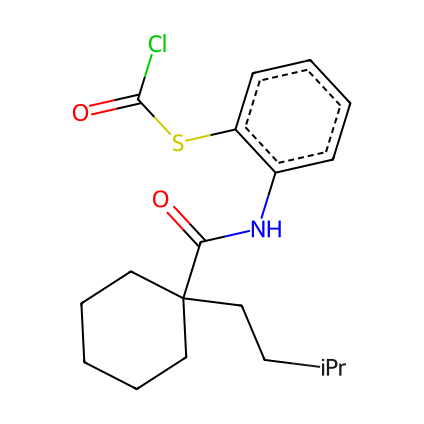 CC(C)CCC1(C(=O)Nc2ccccc2SC(=O)Cl)CCCCC1